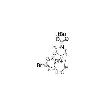 CC(C)(C)OC(=O)N1CCC(N2CCCCc3cc(Br)ccc32)CC1